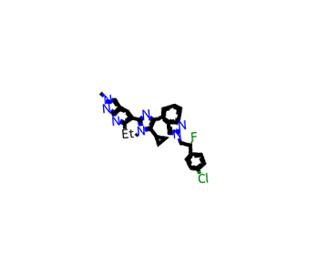 CCc1nc2nn(C)cc2cc1-c1nc(-c2cccc3nn(C[C@H](F)c4ccc(Cl)cc4)cc23)c(C2CC2)n1C